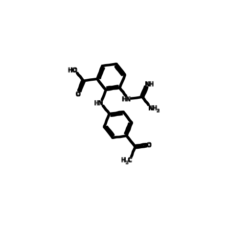 CC(=O)c1ccc(Nc2c(NC(=N)N)cccc2C(=O)O)cc1